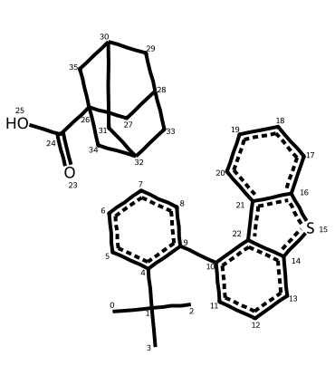 CC(C)(C)c1ccccc1-c1cccc2sc3ccccc3c12.O=C(O)C12CC3CC(CC(C3)C1)C2